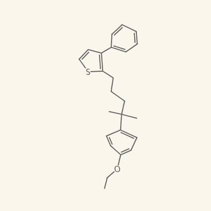 CCOc1ccc(C(C)(C)CCCc2sccc2-c2ccccc2)cc1